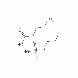 CCCCC(=O)O.[Li][CH2]CCS(=O)(=O)O